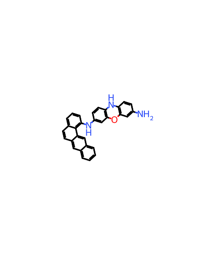 Nc1ccc2c(c1)Oc1cc(Nc3cccc4ccc5cc6ccccc6cc5c34)ccc1N2